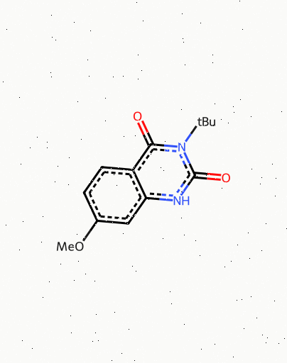 COc1ccc2c(=O)n(C(C)(C)C)c(=O)[nH]c2c1